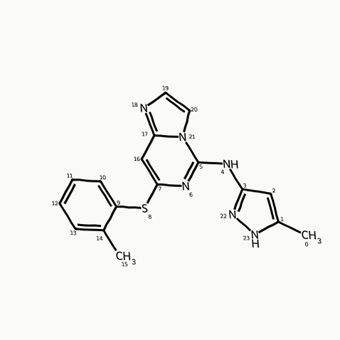 Cc1cc(Nc2nc(Sc3ccccc3C)cc3nccn23)n[nH]1